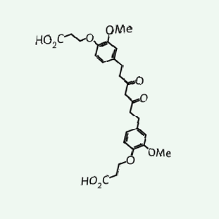 COc1cc(CCC(=O)CC(=O)CCc2ccc(OCCC(=O)O)c(OC)c2)ccc1OCCC(=O)O